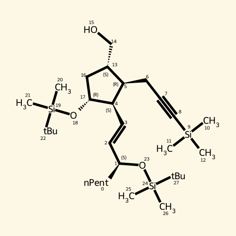 CCCCC[C@@H](C=C[C@@H]1[C@H](CC#C[Si](C)(C)C)[C@@H](CO)C[C@H]1O[Si](C)(C)C(C)(C)C)O[Si](C)(C)C(C)(C)C